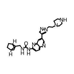 O=C(NCC1C[C@@H]2CC[C@H]1C2)Nc1ccc2ncc(-c3cnn(CCN4CCNCC4)c3)cc2n1